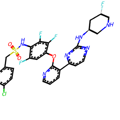 O=S(=O)(Cc1ccc(Cl)cc1)Nc1c(F)cc(Oc2ncccc2-c2ccnc(N[C@@H]3CNC[C@@H](F)C3)n2)c(F)c1F